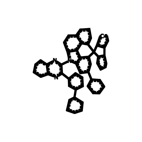 c1ccc(-c2cccc(-c3nc4ccccc4nc3-n3c4cc(-c5ccccc5)cc5c4c4c6c(cccc6ccc43)C53c4ccccc4-c4ccccc43)c2)cc1